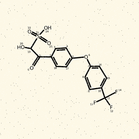 O=C(c1ccc(Oc2ccc(C(F)(F)F)cc2)cc1)C(O)S(=O)(=O)O